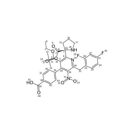 CCOC(=O)c1c([C@]2(C(=O)OC(C)(C)C)CCCN2)nc(Cc2ccc(F)cc2F)c([N+](=O)[O-])c1-c1ccc(C(=O)O)cc1